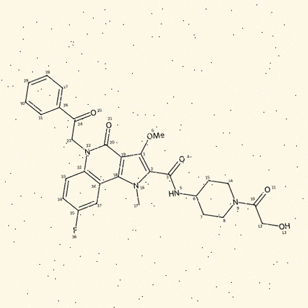 COc1c(C(=O)NC2CCN(C(=O)CO)CC2)n(C)c2c1c(=O)n(CC(=O)c1ccccc1)c1ccc(F)cc21